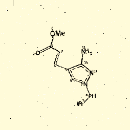 COC(=O)/C=C/c1cn(PC(C)C)nc1N